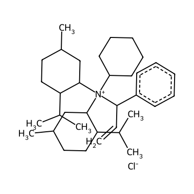 C=CC(c1ccccc1)[N+](C1CCCCC1)(C1CC(C)CCC1C(C)C)C1CC(C)CCC1C(C)C.[Cl-]